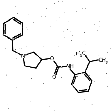 CC(C)c1ccccc1NC(=O)OC1CCN(Cc2ccccc2)C1